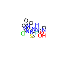 CC(C)(c1ccccn1)C(CC(=O)O)Nc1nc(-c2cn(C(c3ccccc3)(c3ccccc3)c3ccccc3)c3ncc(Cl)nc23)nc(-c2cccs2)c1F